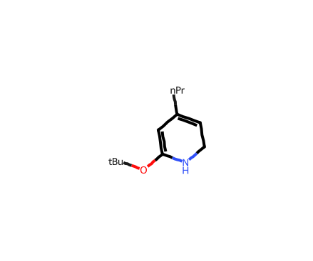 CCCC1=CCNC(OC(C)(C)C)=C1